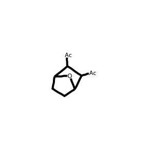 CC(=O)C1C2CCC(O2)C1C(C)=O